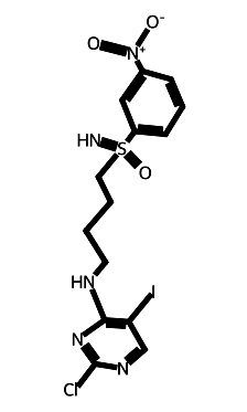 N=S(=O)(CCCCNc1nc(Cl)ncc1I)c1cccc([N+](=O)[O-])c1